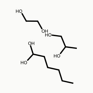 CC(O)CO.CCCCCC(O)O.OCCO